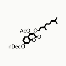 CCCCCCCCCCOc1ccc2c(OC(C)=O)c(OC/C=C(\C)CCC=C(C)C)c(=O)oc2c1